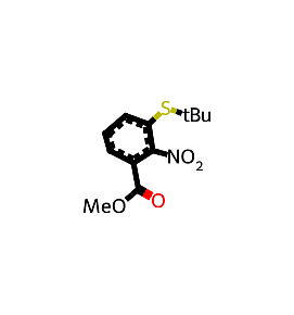 COC(=O)c1cccc(SC(C)(C)C)c1[N+](=O)[O-]